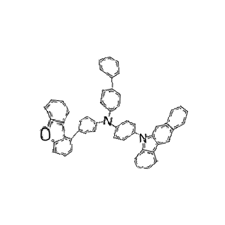 c1ccc(-c2ccc(N(c3ccc(-c4cccc5oc6ccccc6c45)cc3)c3ccc(-n4c5ccccc5c5cc6ccccc6cc54)cc3)cc2)cc1